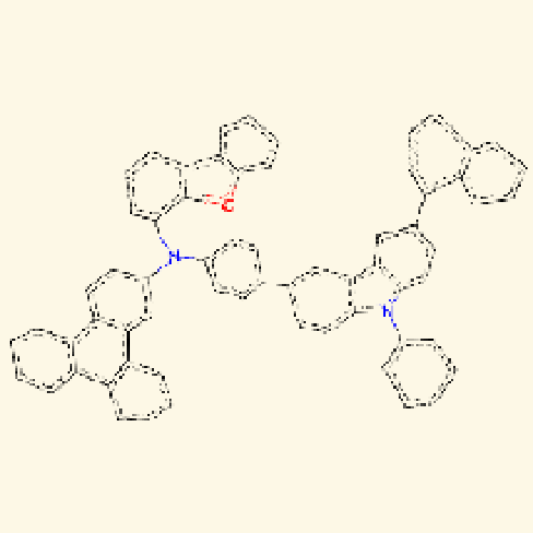 c1ccc(-n2c3ccc(-c4ccc(N(c5ccc6c7ccccc7c7ccccc7c6c5)c5cccc6c5oc5ccccc56)cc4)cc3c3cc(-c4cccc5ccccc45)ccc32)cc1